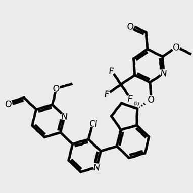 COc1nc(-c2ccnc(-c3cccc4c3CC[C@@H]4Oc3nc(OC)c(C=O)cc3C(F)(F)F)c2Cl)ccc1C=O